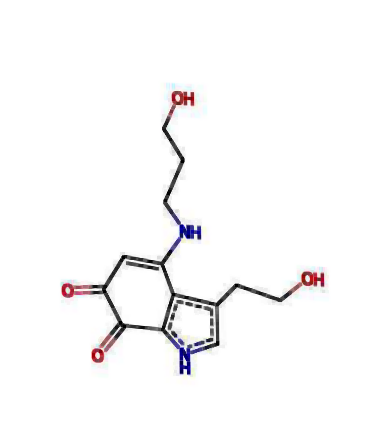 O=C1C=C(NCCCO)c2c(CCO)c[nH]c2C1=O